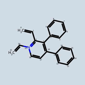 C=Cc1c(-c2ccccc2)c(-c2ccccc2)cc[n+]1C=C